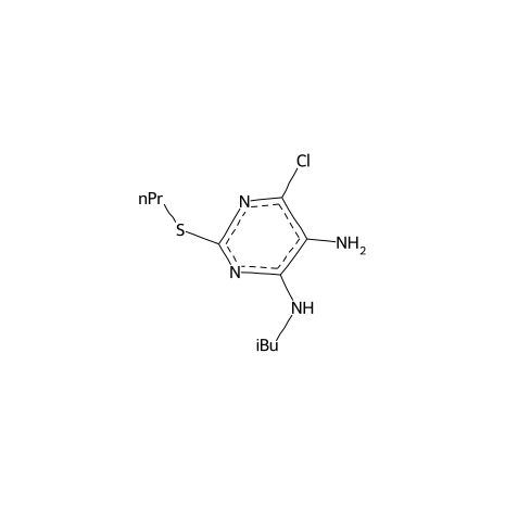 CCCSc1nc(Cl)c(N)c(NC(C)CC)n1